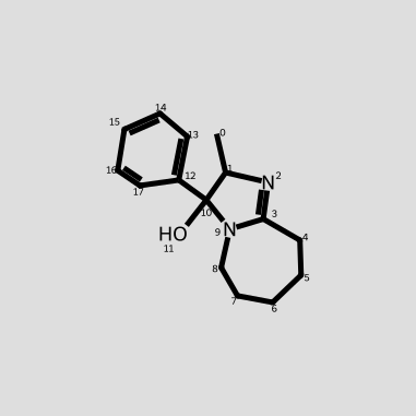 CC1N=C2CCCCCN2C1(O)c1ccccc1